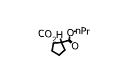 CCCOC(=O)C1(C(=O)O)CCCC1